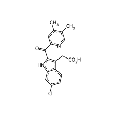 Cc1cnc(C(=O)c2[nH]c3cc(Cl)ccc3c2CC(=O)O)cc1C